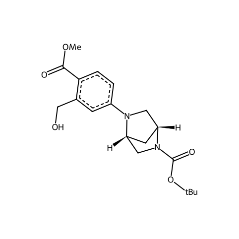 COC(=O)c1ccc(N2C[C@H]3C[C@@H]2CN3C(=O)OC(C)(C)C)cc1CO